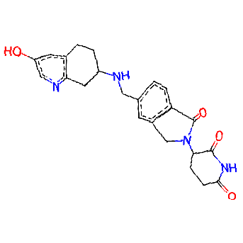 O=C1CCC(N2Cc3cc(CNC4CCc5cc(O)cnc5C4)ccc3C2=O)C(=O)N1